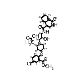 CC(=O)O.COC(=O)c1cc(Cl)ccc1OC1CCN(C[C@H](O)CNC(=O)c2c[nH]c(=O)c3ccccc23)CC1